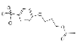 CC(=O)OCCCOc1ccc(S(=O)(=O)Cl)cc1